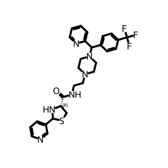 O=C(NCCN1CCN(C(c2ccc(C(F)(F)F)cc2)c2ccccn2)CC1)[C@@H]1CSC(c2cccnc2)N1